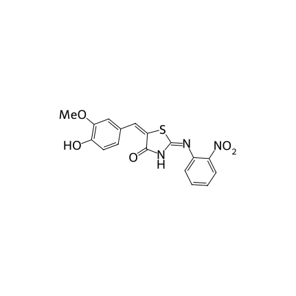 COc1cc(C=C2SC(=Nc3ccccc3[N+](=O)[O-])NC2=O)ccc1O